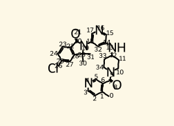 Cc1ccncc1C(=O)N1CCC(Nc2cncc(N3C(=O)c4ccc(Cl)cc4C3(C)C)c2)CC1